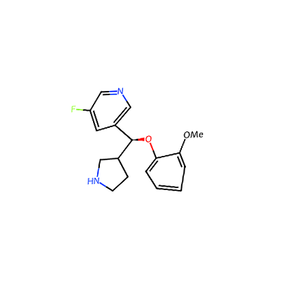 COc1ccccc1O[C@H](c1cncc(F)c1)C1CCNC1